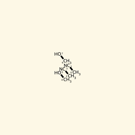 CC#N.CC#N.CO.CO